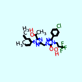 C\C=C/C=C(\C=C/C)n1nc(Cn2nc(-c3ccc(Cl)cc3)n(C[C@H](O)C(F)(F)F)c2=O)nc1C(C)O